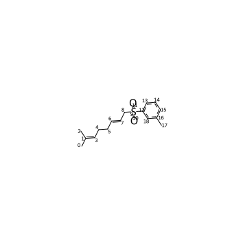 CC(C)=CCCC=CCS(=O)(=O)c1cccc(C)c1